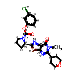 Cn1c(C2CCOCC2)nc2sc([C@H]3CCCN3C(=O)Oc3cccc(Cl)c3)nc2c1=O